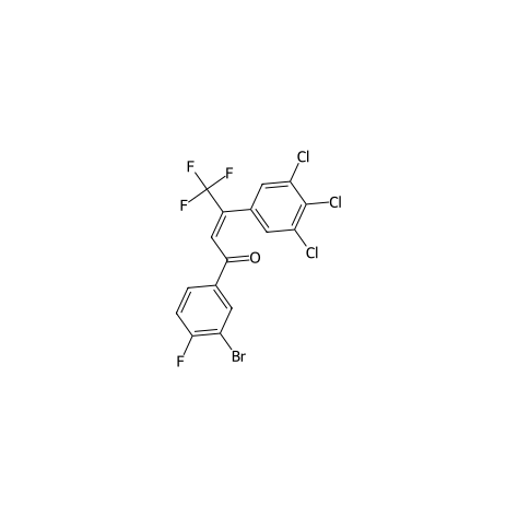 O=C(/C=C(\c1cc(Cl)c(Cl)c(Cl)c1)C(F)(F)F)c1ccc(F)c(Br)c1